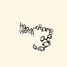 O=C(OCC1CCN(Cc2ccccc2)CC1)C(c1ccccc1)c1cccc(OCC(=O)N2CC3(CCN(C(=O)c4ccc(CCNCC(O)c5ccc(O)c6[nH]c(=O)ccc56)cc4)CC3)C2)c1